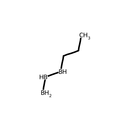 BBBCCC